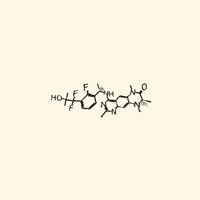 Cc1nc(N[C@H](C)c2cccc(C(F)(F)C(C)(C)O)c2F)c2cc3c(cc2n1)N(C)[C@H](C)C(=O)N3C